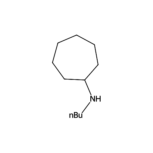 CCCCNC1CCCCCC1